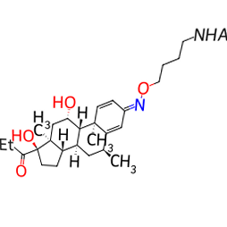 CCC(=O)[C@@]1(O)CC[C@H]2[C@@H]3C[C@H](C)C4=C/C(=N/OCCCCNC(C)=O)C=C[C@]4(C)[C@H]3[C@@H](O)C[C@@]21C